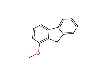 COc1cccc2c1Cc1ccccc1-2